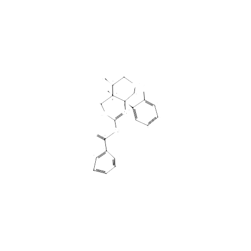 C[C@H]1COC[C@]2(c3ccccc3F)N=C(NC(=O)c3ccccc3)SC[C@H]12